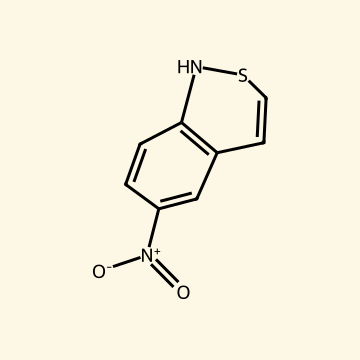 O=[N+]([O-])c1ccc2c(c1)C=CSN2